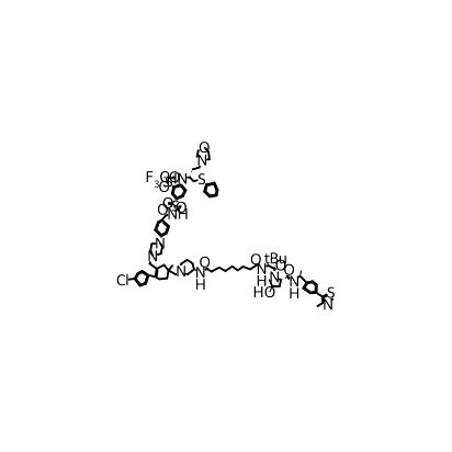 Cc1ncsc1-c1ccc([C@H](C)NC(=O)[C@@H]2C[C@@H](O)CN2C(=O)[C@@H](NC(=O)CCCCCCCC(=O)N[C@@H]2CCCN(CC3(C)CCC(c4ccc(Cl)cc4)=C(CN4CCN(c5ccc(C(=O)NS(=O)(=O)c6ccc(N[C@H](CCN7CCOCC7)CSc7ccccc7)c(S(=O)(=O)C(F)(F)F)c6)cc5)CC4)C3)C2)C(C)(C)C)cc1